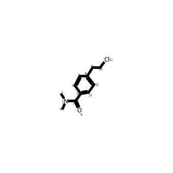 CN(C)C(=O)c1ccc(CCCl)cc1